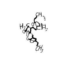 C=C[C@@H](OC(O)/C=C/C)[C@@H]1C(=C)C(=O)O[C@H]1CC1=CC(CCC)OC1=O